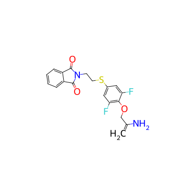 C=C(N)COc1c(F)cc(SCCN2C(=O)c3ccccc3C2=O)cc1F